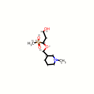 CN1CCCC(COC(CCO)S(C)(=O)=O)C1